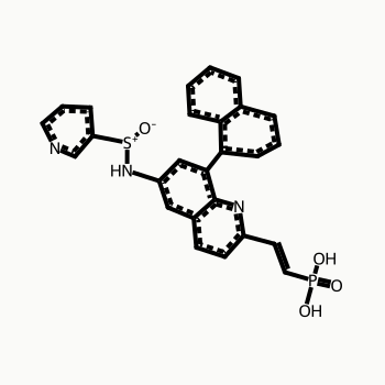 O=P(O)(O)/C=C/c1ccc2cc(N[S+]([O-])c3cccnc3)cc(-c3cccc4ccccc34)c2n1